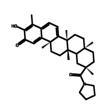 CC1=C(O)C(=O)C=C2C1=CC=C1[C@@]2(C)CC[C@@]2(C)C3C[C@](C)(C(=O)N4CCCC4)CC[C@]3(C)CC[C@]12C